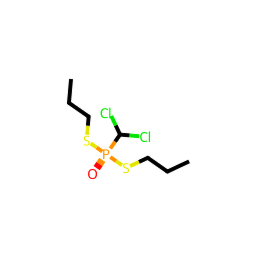 CCCSP(=O)(SCCC)C(Cl)Cl